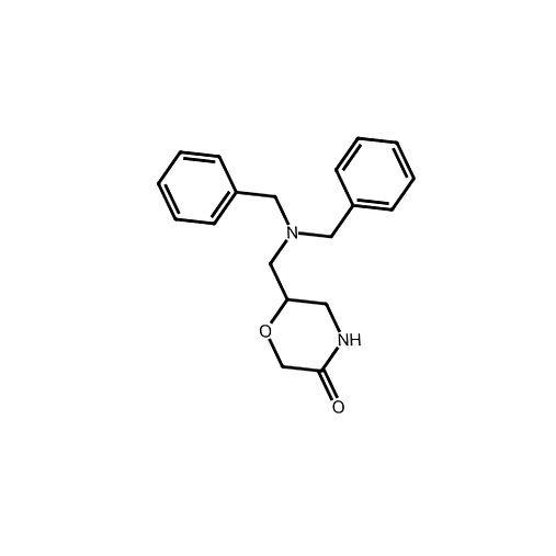 O=C1COC(CN(Cc2ccccc2)Cc2ccccc2)CN1